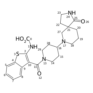 O=C(O)Nc1sc2ccccc2c1C(=O)N1CCC(N2CCCC3(CCNC3=O)C2)CC1